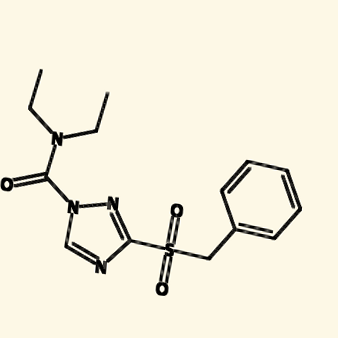 CCN(CC)C(=O)n1cnc(S(=O)(=O)Cc2ccccc2)n1